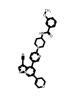 COc1cccc(C(=O)NC2CCN(c3ccc(-c4cc(C5=CCOCC5)cn5ncc(C#N)c45)cn3)CC2)c1